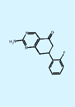 Nc1ncc2c(n1)CC(c1ccccc1F)CC2=O